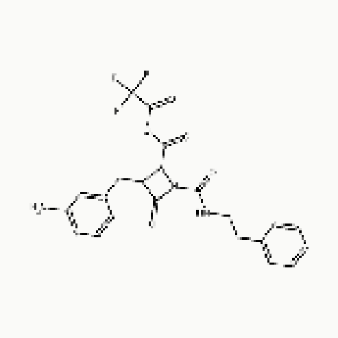 Nc1cc(CC2C(=O)N(C(=O)NCCc3ccccc3)C2C(=O)OC(=O)C(F)(F)F)ccn1